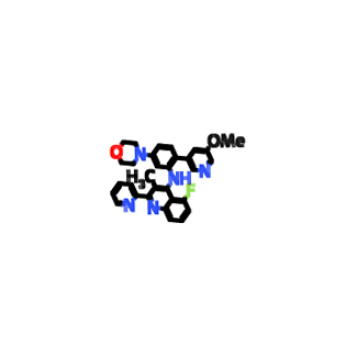 COc1cncc(-c2ccc(N3CCOCC3)cc2Nc2c(C)c(-c3ccccn3)nc3cccc(F)c23)c1